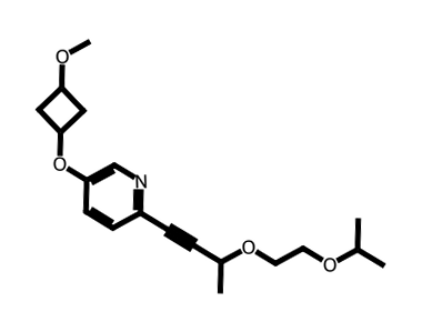 COC1CC(Oc2ccc(C#CC(C)OCCOC(C)C)nc2)C1